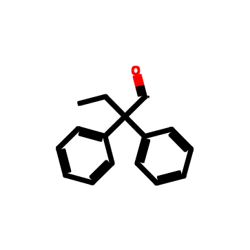 CCC([C]=O)(c1ccccc1)c1ccccc1